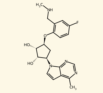 CNCc1cc(F)ccc1O[C@H]1C[C@@H](n2ccc3c(C)ncnc32)[C@H](O)[C@@H]1O